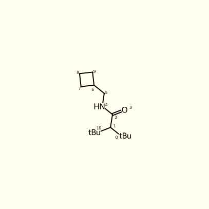 CC(C)(C)C(C(=O)NCC1CCC1)C(C)(C)C